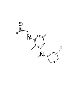 CCN(C)C=Nc1cc(F)cc(N(C)c2cccc(F)c2)c1C